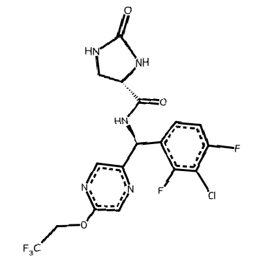 O=C1NC[C@@H](C(=O)N[C@H](c2cnc(OCC(F)(F)F)cn2)c2ccc(F)c(Cl)c2F)N1